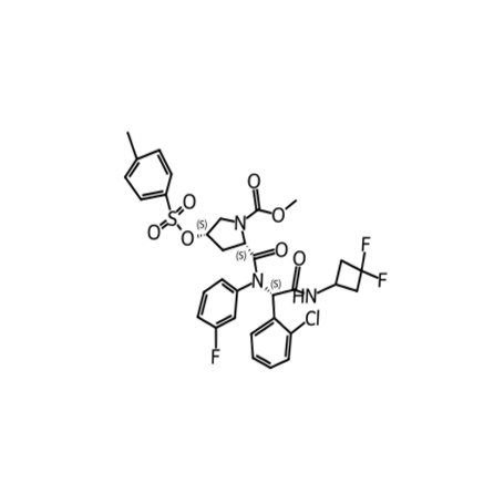 COC(=O)N1C[C@@H](OS(=O)(=O)c2ccc(C)cc2)C[C@H]1C(=O)N(c1cccc(F)c1)[C@H](C(=O)NC1CC(F)(F)C1)c1ccccc1Cl